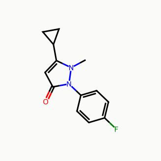 Cn1c(C2CC2)cc(=O)n1-c1ccc(F)cc1